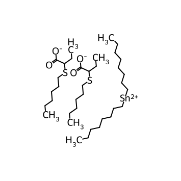 CCCCCCC[CH2][Sn+2][CH2]CCCCCCC.CCCCCCSC(CC)C(=O)[O-].CCCCCCSC(CC)C(=O)[O-]